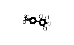 O=[N+]([O-])c1ccc(-c2cc(Cl)c(Cl)c(Cl)c2Cl)cc1